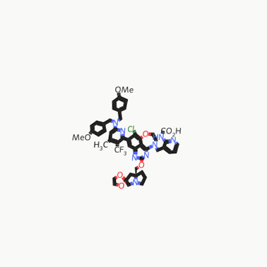 COc1ccc(CN(Cc2ccc(OC)cc2)c2cc(C)c(C(F)(F)F)c(-c3cc4nc(OC[C@@]56CCCN5CC5(C6)OCCO5)nc5c4c(c3Cl)OCCN5Cc3cccnc3NC(=O)O)n2)cc1